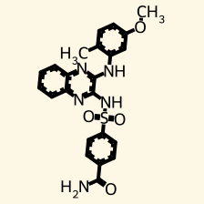 COc1ccc(C)c(Nc2nc3ccccc3nc2NS(=O)(=O)c2ccc(C(N)=O)cc2)c1